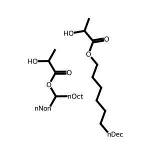 CCCCCCCCCC(CCCCCCCC)OC(=O)C(C)O.CCCCCCCCCCCCCCCCOC(=O)C(C)O